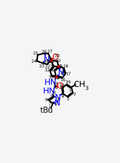 Cc1ccc(-n2nc(C(C)(C)C)cc2NC(=O)Nc2cccc(CC3CC4CCC(C3)N4C(=O)c3cccnc3)c2)cc1